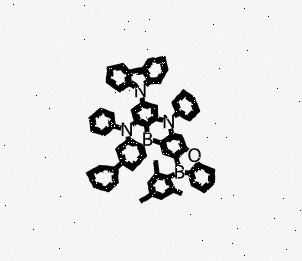 Cc1cc(C)c(B2c3ccccc3Oc3cc4c(cc32)B2c3ccc(-c5ccccc5)cc3N(c3ccccc3)c3cc(-n5c6ccccc6c6ccccc65)cc(c32)N4c2ccccc2)c(C)c1